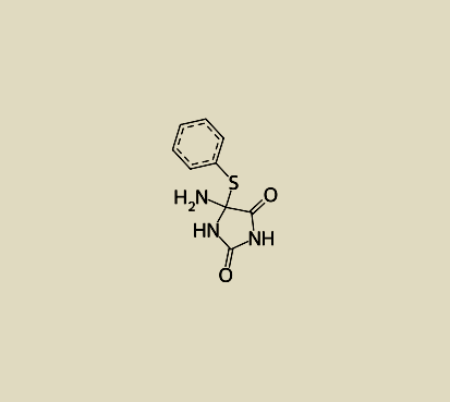 NC1(Sc2ccccc2)NC(=O)NC1=O